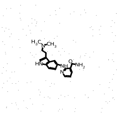 CN(C)CCc1c[nH]c2ccc(Nc3ncccc3C(N)=O)cc12